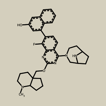 CN1CCCC2(COc3nc(N4CCC5CCC(C4)N5)c4ccc(-c5cc(O)cc6ccccc56)c(F)c4n3)CCCC12